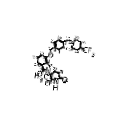 C[C@]1(N2Cc3c(OCc4ccc(CN5CCC(C(F)(F)F)CC5)cc4)cccc3C2=O)CCC(=O)NC1=O